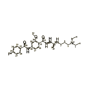 CCN(CC)CCCNC(=S)NNC(=O)c1ccc(NC(=O)c2ccc(F)cc2)cc1OC